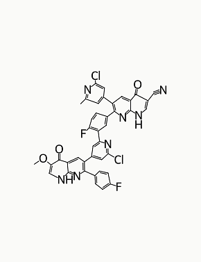 COc1c[nH]c2nc(-c3ccc(F)cc3)c(-c3cc(Cl)nc(-c4cc(-c5nc6[nH]cc(C#N)c(=O)c6cc5-c5cc(C)nc(Cl)c5)ccc4F)c3)cc2c1=O